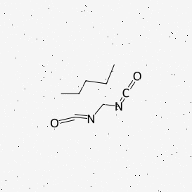 CCCCC.O=C=NCN=C=O